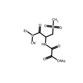 CCN(C#N)C(=O)C(CS(C)(=O)=O)NC(=O)C(=O)OC